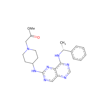 COC(=O)CN1CCC(Nc2ncc3ncnc(N[C@H](C)c4ccccc4)c3n2)CC1